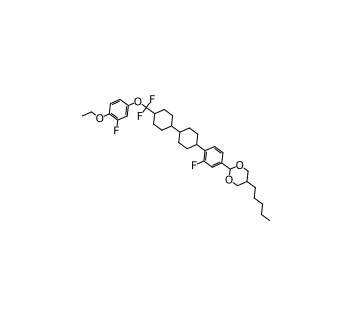 CCCCCC1COC(c2ccc(C3CCC(C4CCC(C(F)(F)Oc5ccc(OCC)c(F)c5)CC4)CC3)c(F)c2)OC1